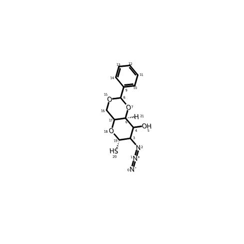 [N-]=[N+]=NC1C(O)[C@@H]2OC(c3ccccc3)OCC2O[C@H]1S